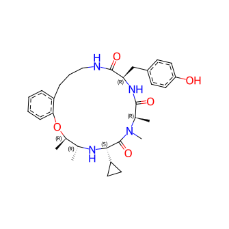 C[C@@H]1C(=O)N[C@H](Cc2ccc(O)cc2)C(=O)NCCCc2ccccc2O[C@H](C)[C@@H](C)N[C@@H](C2CC2)C(=O)N1C